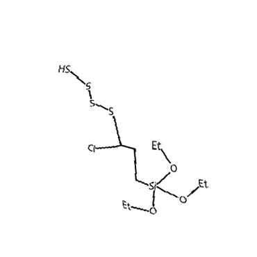 CCO[Si](CCC(Cl)SSSS)(OCC)OCC